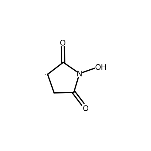 O=C1[CH]CC(=O)N1O